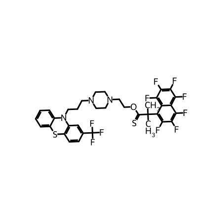 CC(C)(C(=S)OCCN1CCN(CCCN2c3ccccc3Sc3ccc(C(F)(F)F)cc32)CC1)c1c(F)c(F)c(F)c2c(F)c(F)c(F)c(F)c12